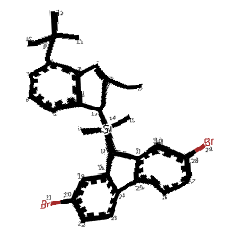 CC1=Cc2c(cccc2C(C)(C)C)C1[Si](C)(C)C1c2cc(Br)ccc2-c2ccc(Br)cc21